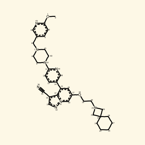 COc1ccc(CN2CCN(c3ccc(-c4cc(OCCN5CC6(CCCCC6)C5)cn5ncc(C#N)c45)cn3)CC2)cn1